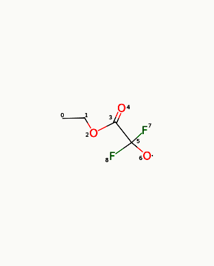 CCOC(=O)C([O])(F)F